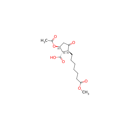 COC(=O)CCCCCC[C@@H]1C(=O)C[C@H](OC(C)=O)[C@H]1C(=O)O